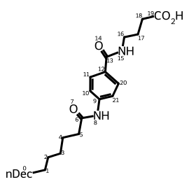 CCCCCCCCCCCCCCCC(=O)Nc1ccc(C(=O)NCCCC(=O)O)cc1